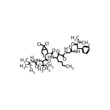 CCCCC(NC(=O)[C@@H]1C2C(CN1C(=O)C(NC(=O)NC(C)(C)C)C(C)(C)C)C2(Cl)Cl)C(=O)C(=O)NCC(=O)N[C@H](C(=O)N(C)C)c1ccccc1